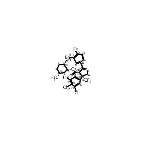 CC(C)[C@@H]1CC[C@@H](C)C[C@H]1OC(=O)[C@H]1C(c2ccc(F)c(Br)c2)=NC[C@]1(c1cc(Cl)c(Cl)c(Cl)c1)C(F)(F)F